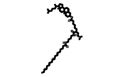 CC/C=C/C/C=C/C/C=C/C/C=C/CCCCC(=O)NCCCCNC(=O)C(CCCCCC(=O)OC1CCC2(C)C(=CCC3C2CCC2(C)C(C(C)CCCC(C)C)CCC32)C1)CCN(C)C